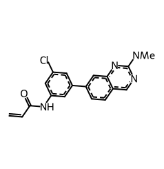 C=CC(=O)Nc1cc(Cl)cc(-c2ccc3cnc(NC)nc3c2)c1